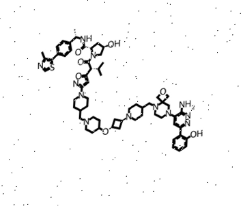 Cc1ncsc1-c1ccc([C@H](C)NC(=O)[C@@H]2C[C@@H](O)CN2C(=O)[C@@H](c2cc(N3CCC(CN4CCC(O[C@H]5C[C@H](N6CCC(CN7CCN(c8cc(-c9ccccc9O)nnc8N)CC78COC8)CC6)C5)CC4)CC3)no2)C(C)C)cc1